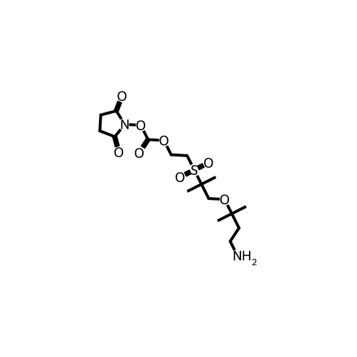 CC(C)(CCN)OCC(C)(C)S(=O)(=O)CCOC(=O)ON1C(=O)CCC1=O